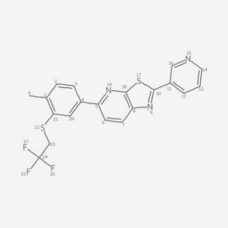 Cc1ccc(-c2ccc3nc(-c4cccnc4)sc3n2)cc1SCC(F)(F)F